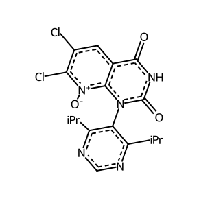 CC(C)c1ncnc(C(C)C)c1-n1c(=O)[nH]c(=O)c2cc(Cl)c(Cl)[n+]([O-])c21